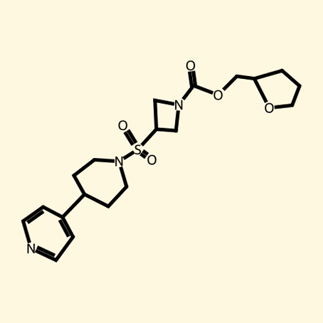 O=C(OCC1CCCO1)N1CC(S(=O)(=O)N2CCC(c3ccncc3)CC2)C1